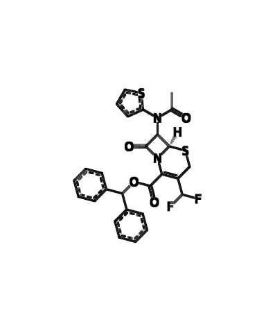 CC(=O)N(c1cccs1)C1C(=O)N2C(C(=O)OC(c3ccccc3)c3ccccc3)=C(C(F)F)CS[C@H]12